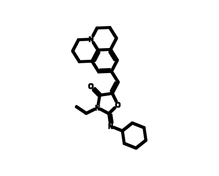 CCN1C(=O)/C(=C\c2cc3c4c(c2)CCCN4CCC3)OC1=NC1CCCCC1